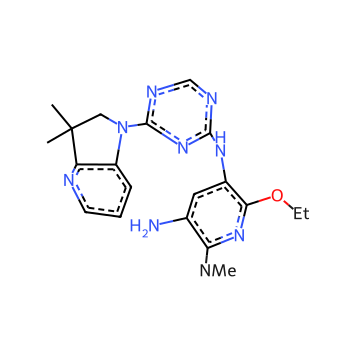 CCOc1nc(NC)c(N)cc1Nc1ncnc(N2CC(C)(C)c3ncccc32)n1